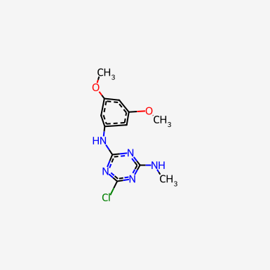 CNc1nc(Cl)nc(Nc2cc(OC)cc(OC)c2)n1